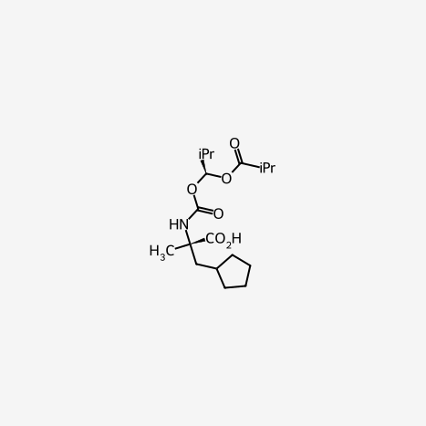 CC(C)C(=O)O[C@@H](OC(=O)N[C@@](C)(CC1CCCC1)C(=O)O)C(C)C